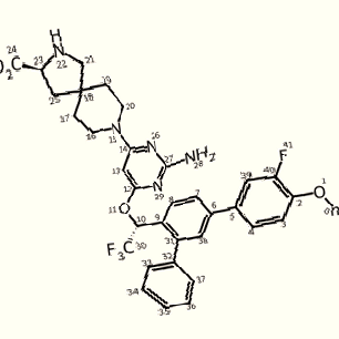 CCCOc1ccc(-c2ccc([C@@H](Oc3cc(N4CCC5(CC4)CN[C@H](C(=O)OCC)C5)nc(N)n3)C(F)(F)F)c(-c3ccccc3)c2)cc1F